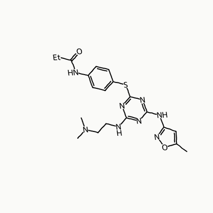 CCC(=O)Nc1ccc(Sc2nc(NCCN(C)C)nc(Nc3cc(C)on3)n2)cc1